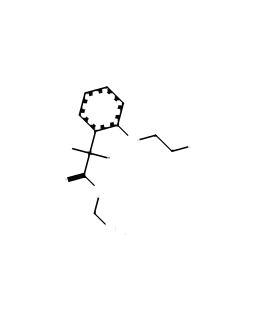 CCOC(=O)C(F)(F)c1ccccc1OCCO